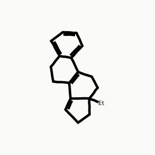 CCC12CCC=C1C1=C(CC2)c2ccccc2CC1